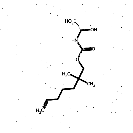 C=CCCCC(C)(C)COC(=O)N[C@@H](O)C(=O)O